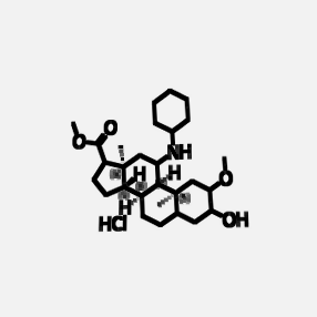 COC(=O)C1CC[C@H]2[C@@H]3CCC4CC(O)C(OC)C[C@]4(C)[C@@H]3C(NC3CCCCC3)C[C@]12C.Cl